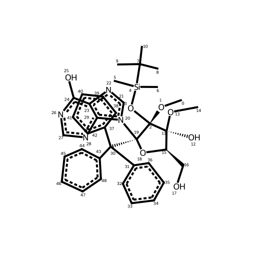 CO[C@@]1(O[Si](C)(C)C(C)(C)C)[C@@](O)(OC)[C@@H](CO)O[C@]1(n1cnc2c(O)ncnc21)C(c1ccccc1)(c1ccccc1)c1ccccc1